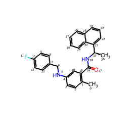 Cc1ccc(NCc2ccc(F)cc2)cc1C(=O)N[C@H](C)c1cccc2ccccc12